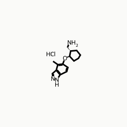 Cc1c(O[C@@H]2CCCC[C@H]2CN)ccc2[nH]ncc12.Cl